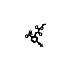 CCOC(=O)C(=O)Cc1cc(C#N)ccc1[N+](=O)[O-]